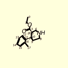 CCOC(=O)[C@H]1CNCC[C@H]1c1ccccc1C